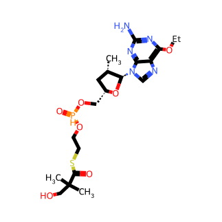 CCOc1nc(N)nc2c1ncn2[C@@H]1O[C@H](CO[PH](=O)OCCSC(=O)C(C)(C)CO)C[C@@H]1C